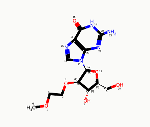 COCCO[C@@H]1[C@@H](O)[C@@H](CO)O[C@H]1n1cnc2c(=O)[nH]c(N)nc21